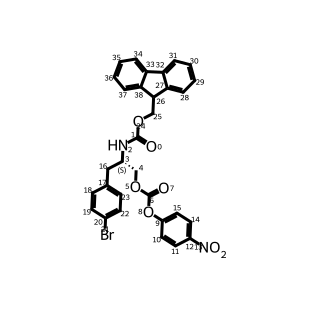 O=C(N[C@H](COC(=O)Oc1ccc([N+](=O)[O-])cc1)Cc1ccc(Br)cc1)OCC1c2ccccc2-c2ccccc21